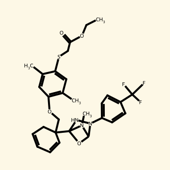 CCOC(=O)CSc1cc(C)c(OCC2(C34NN(c5ccc(C(F)(F)F)cc5)C(O3)N4C)C=CC=CC2)cc1C